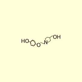 OCC1CCN(CCOc2ccc(O)cc2)CC1